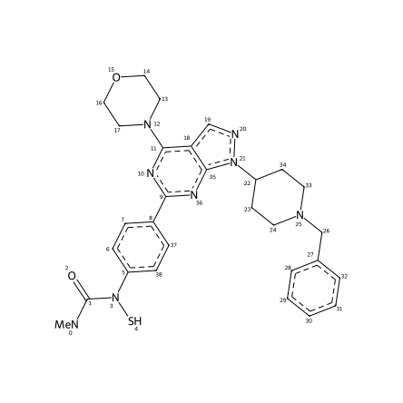 CNC(=O)N(S)c1ccc(-c2nc(N3CCOCC3)c3cnn(C4CCN(Cc5ccccc5)CC4)c3n2)cc1